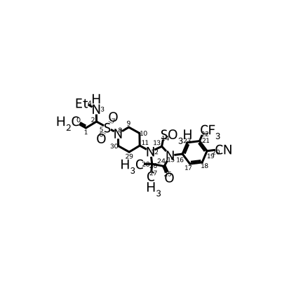 C=CC(NCC)S(=O)(=O)N1CCC(N2C(S(=O)(=O)O)N(c3ccc(C#N)c(C(F)(F)F)c3)C(=O)C2(C)C)CC1